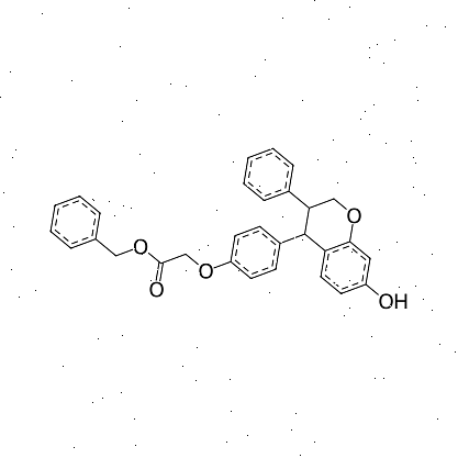 O=C(COc1ccc(C2c3ccc(O)cc3OCC2c2ccccc2)cc1)OCc1ccccc1